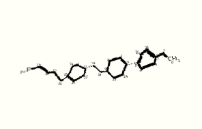 CCc1ccc([C@H]2CC[C@H](CC[C@H]3CC[C@H](CCC=CF)CC3)CC2)cc1